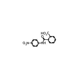 O=C(O)c1ccccc1C(=O)Nc1ccc([N+](=O)[O-])cc1